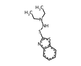 CCN(CC)NSc1nc2ccccc2s1